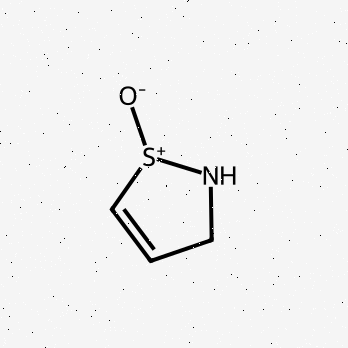 [O-][S+]1C=CCN1